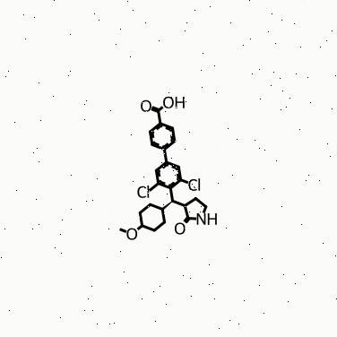 COC1CCC([C@@H](c2c(Cl)cc(-c3ccc(C(=O)O)cc3)cc2Cl)C2CCNC2=O)CC1